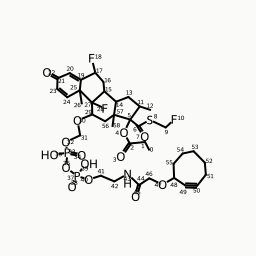 CCC(=O)OC1(C(=O)SCF)C(C)CC2C3CC(F)C4=CC(=O)C=CC4(C)C3(F)C(OCOP(=O)(O)OP(=O)(O)OCCNC(=O)COC3C#CCCCCC3)CC21C